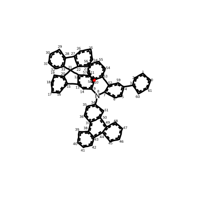 c1ccc(-c2ccc(N(c3ccc4c(c3)-c3ccccc3C43c4ccccc4-c4ccccc43)c3ccc4c5ccccc5c5ccccc5c4c3)c(-c3ccccc3)c2)cc1